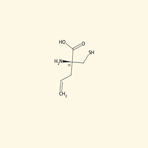 C=CC[C@@](N)(CS)C(=O)O